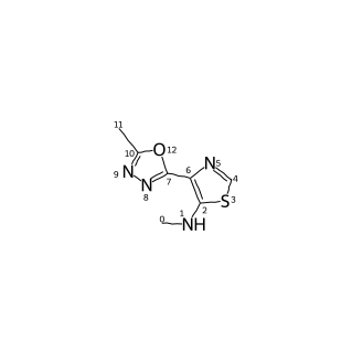 CNc1scnc1-c1nnc(C)o1